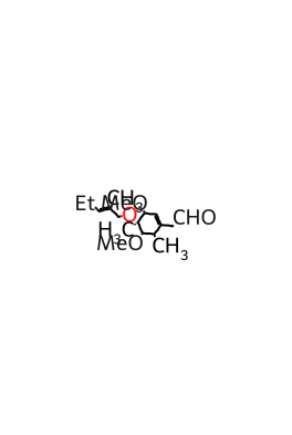 CC/C=C(\C)CO[C@@]1(C)C(OC)C=C(CC=O)[C@@H](C)[C@@H]1OC